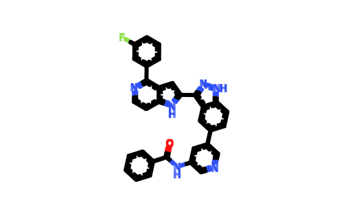 O=C(Nc1cncc(-c2ccc3[nH]nc(-c4cc5c(-c6cccc(F)c6)nccc5[nH]4)c3c2)c1)c1ccccc1